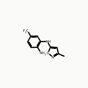 Cc1cc(Nc2cc(C(F)(F)F)ccc2N)on1